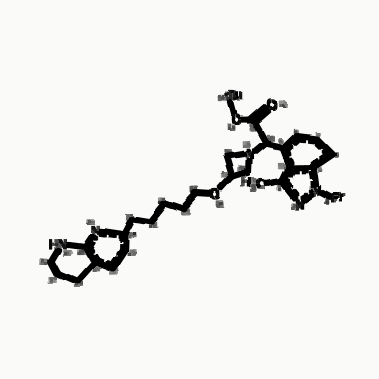 Cc1nn(C(C)C)c2cccc(C(C(=O)OC(C)(C)C)N3CC(OCCCCCc4ccc5c(n4)NCCC5)C3)c12